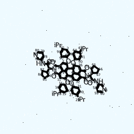 CC(C)c1ccc(Oc2cc3c4c(cc(Oc5ccc(C(C)C)cc5)c5c6c(Oc7ccc(C(C)C)cc7)cc7c8c(cc(Oc9ccc(C(C)C)cc9)c(c2c45)c86)C(=O)N(C(C(=O)Nc2cccnc2)C2CCCC2)C7=O)C(=O)N(C(C(=O)Nc2cccnc2)C2CCCC2)C3=O)cc1